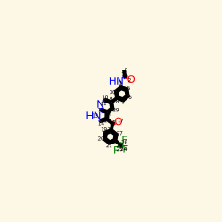 CC(=O)Nc1cccc(-c2cnc3[nH]cc(C(=O)c4cccc(C(F)(F)F)c4)c3c2)c1